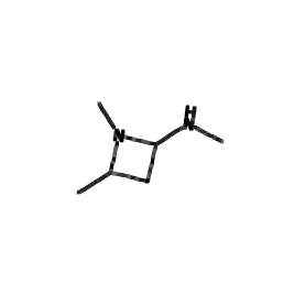 CNC1CC(C)N1C